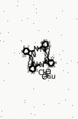 O=[S](=O)(Cl)[Cu].c1ccc2c(c1)-c1nc-2nc2[nH]c(nc3nc(nc4[nH]c(n1)c1ccccc41)-c1ccccc1-3)c1ccccc21